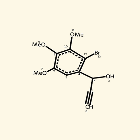 C#CC(O)c1cc(OC)c(OC)c(OC)c1Br